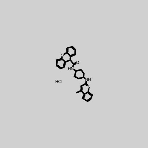 Cc1cc(NC2CCC(NC(=O)C3c4ccccc4Oc4ccccc43)CC2)nc2ccccc12.Cl